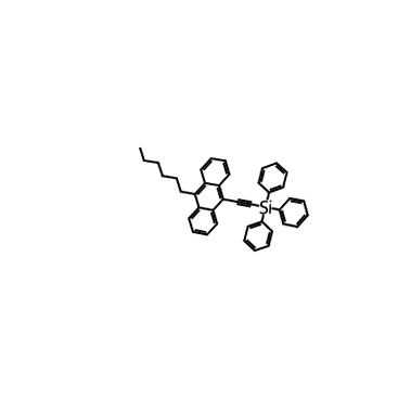 CCCCCCc1c2ccccc2c(C#C[Si](c2ccccc2)(c2ccccc2)c2ccccc2)c2ccccc12